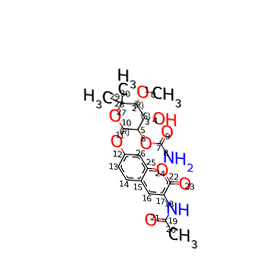 CO[C@@H]1[C@H](O)C(OC(N)=O)[C@H](Oc2ccc3cc(NC(C)=O)c(=O)oc3c2)OC1(C)C